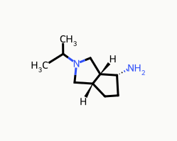 CC(C)N1C[C@H]2CC[C@@H](N)[C@H]2C1